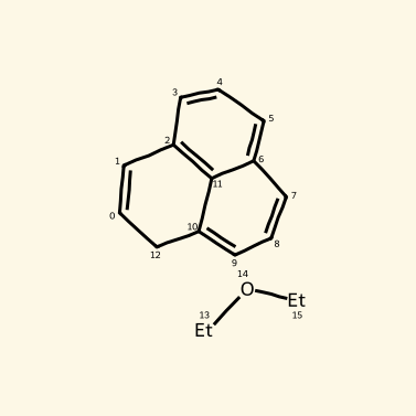 C1=Cc2cccc3cccc(c23)C1.CCOCC